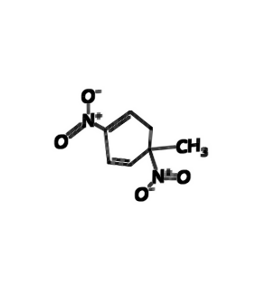 CC1([N+](=O)[O-])C=CC([N+](=O)[O-])=CC1